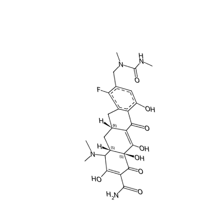 CNC(=O)N(C)Cc1cc(O)c2c(c1F)C[C@H]1C[C@H]3C(N(C)C)C(O)=C(C(N)=O)C(=O)[C@@]3(O)C(O)=C1C2=O